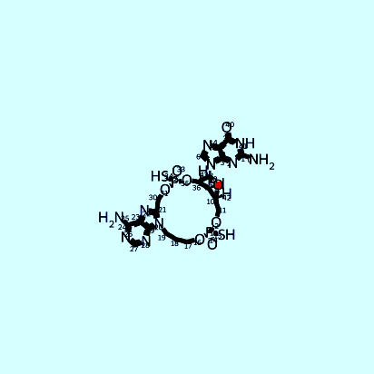 Nc1nc2c(ncn2[C@@H]2O[C@@H]3COP(=O)(S)OCCCn4c(nc5c(N)ncnc54)COP(=O)(S)O[C@@H]2[C@@H]3F)c(=O)[nH]1